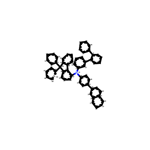 c1ccc(-c2ccccc2-c2cccc(N(c3ccc(-c4ccc5ccccc5c4)cc3)c3cccc4c3-c3ccccc3C4(c3ccccc3)c3ccccc3)c2)cc1